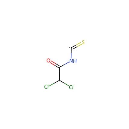 O=C(N[C]=S)C(Cl)Cl